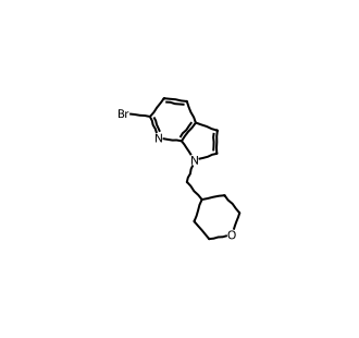 Brc1ccc2ccn(CC3CCOCC3)c2n1